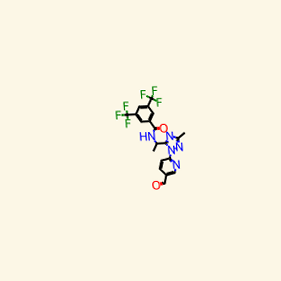 Cc1nc(C(C)NC(=O)c2cc(C(F)(F)F)cc(C(F)(F)F)c2)n(-c2ccc(C=O)cn2)n1